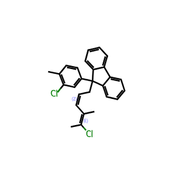 C/C(Cl)=C(C)\C=C/CC1(c2ccc(C)c(Cl)c2)c2ccccc2-c2ccccc21